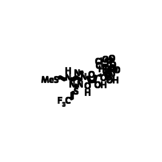 CSCCNc1nc(SCCC(F)(F)F)nc2c1ncn2[C@@H]1O[C@H](COP(=O)(O)OP(=O)(O)OP(=O)(CCl)OCl)[C@@H](O)[C@H]1O